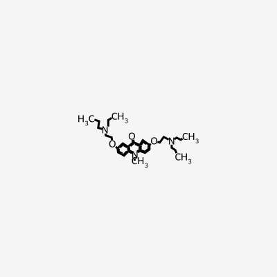 CCCN(CCC)CCOc1ccc2c(c1)c(=O)c1cc(OCCN(CCC)CCC)ccc1n2C